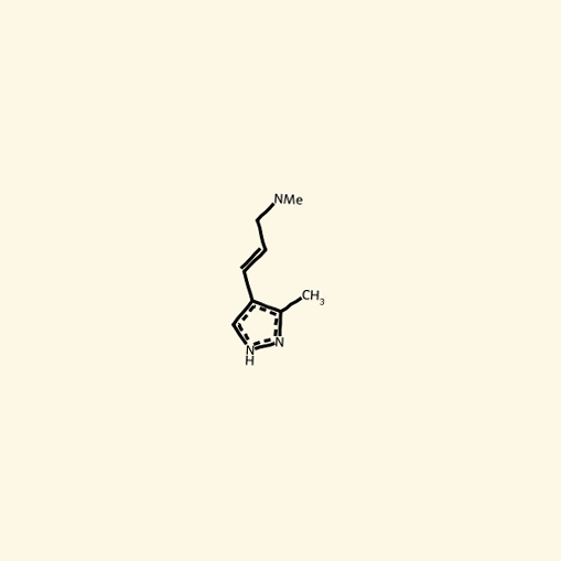 CNCC=Cc1c[nH]nc1C